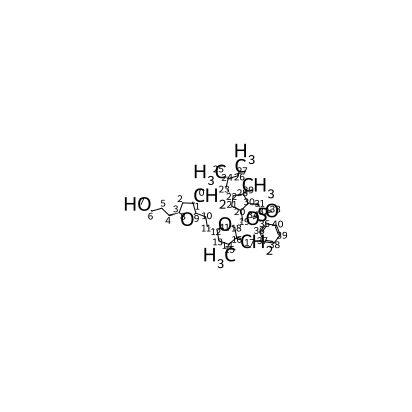 C=C1C[C@H](CCCO)OC1CC[C@H]1C[C@@H](C)C(=C)[C@@H](CC2C[C@H](C[C@H](C)CC)[C@H](C)[C@H]2CS(=O)(=O)c2ccccc2)O1